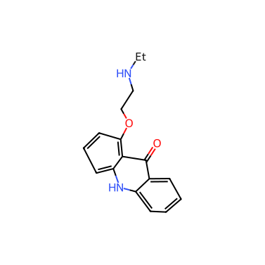 CCNCCOc1cccc2[nH]c3ccccc3c(=O)c12